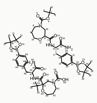 CC(C)(C)OC(=O)N1CCCOC(C(=O)N[C@@H](Cc2ccc(B3OC(C)(C)C(C)(C)O3)cc2)C(N)=O)C1.CC1(C)OB(c2ccc(C[C@H](NC(=O)[C@]3(C(C)(C)C)CN(C(=O)O)CCCO3)C(N)=O)cc2)OC1(C)C